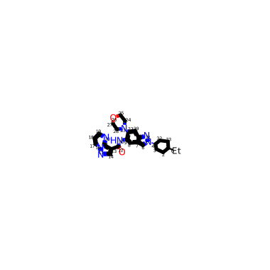 CC[C@H]1CC[C@H](n2cc3cc(NC(=O)c4cnn5cccnc45)c(N4CCOCC4)cc3n2)CC1